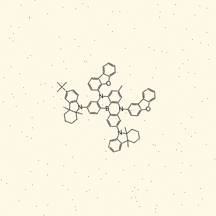 Cc1cc2c3c(c1)N(c1cccc4c1oc1ccccc14)c1cc(N4c5ccc(C(C)(C)C)cc5C5(C)CCCCC45C)ccc1B3c1ccc(N3c4ccccc4C4(C)CCCCC34C)cc1N2c1ccc2oc3ccccc3c2c1